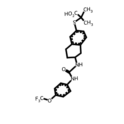 CC(C)(Sc1ccc2c(c1)CCC(NC(=O)Nc1ccc(OC(F)(F)F)cc1)C2)C(=O)O